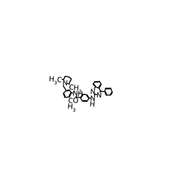 Cc1ccc(CN2C(C)CCCC2C)cc1NC(=O)c1ccc(Nc2nc(-c3ccccc3)c3ccccc3n2)cc1